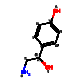 NC[C@H](O)c1ccc(O)cc1